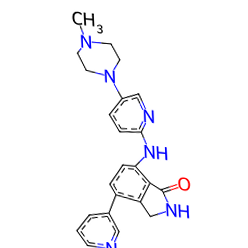 CN1CCN(c2ccc(Nc3ccc(-c4cccnc4)c4c3C(=O)NC4)nc2)CC1